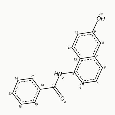 O=C(Nc1nccc2cc(O)ccc12)c1ccccc1